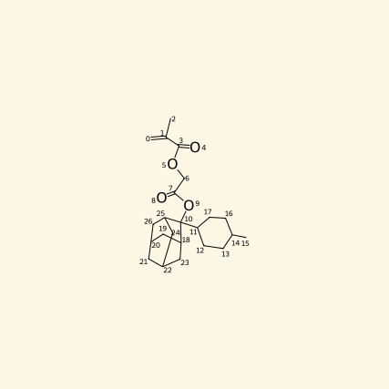 C=C(C)C(=O)OCC(=O)OC1(C2CCC(C)CC2)C2CC3CC(C2)CC1C3